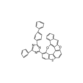 c1ccc(-c2ccc(-c3nc(-c4ccccc4)nc(-c4ccc5sc6ccc7oc8cc9ccccc9c9oc4c5c6c7c89)n3)cc2)cc1